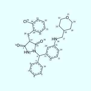 O=C1NN(C(c2ccccc2)c2cccc(NCC3CCOCC3)c2)C(=O)C1Sc1ccccc1Cl